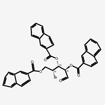 O=C[C@H](OC(=O)c1ccc2ccccc2c1)[C@@H](OC(=O)c1ccc2ccccc2c1)[C@H](Br)COC(=O)c1ccc2ccccc2c1